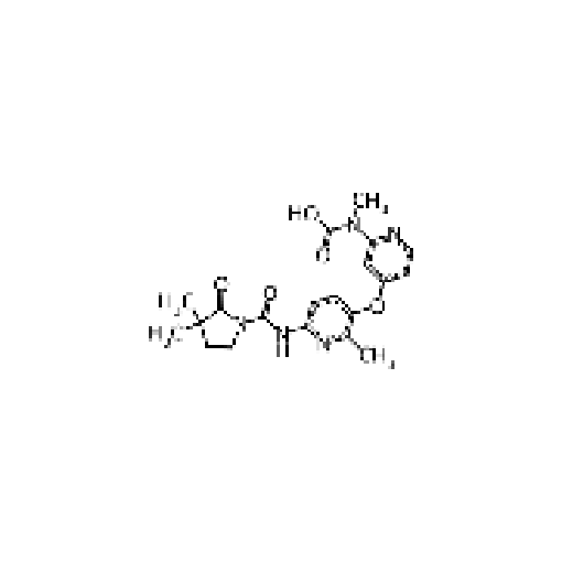 Cc1nc(NC(=O)N2CCC(C)(C)C2=O)ccc1Oc1ccnc(N(C)C(=O)O)c1